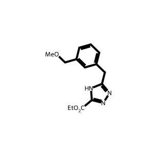 CCOC(=O)c1nnc(Cc2cccc(COC)c2)[nH]1